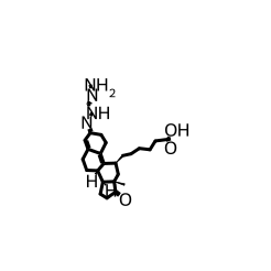 C[C@]12C[C@H](CCCCCC(=O)O)C3=C4CCC(=NNC=NN)C=C4CC[C@H]3[C@@H]1CCC2=O